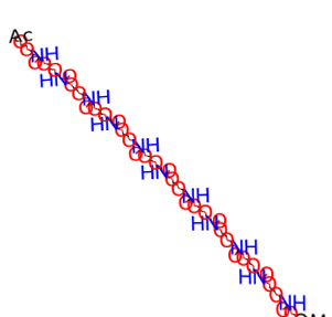 COCCOCC(=O)NCCOCCOCC(=O)NCCOCCOCC(=O)NCCOCCOCC(=O)NCCOCCOCC(=O)NCCOCCOCC(=O)NCCOCCOCC(=O)NCCOCCOCC(=O)NCCOCCOCC(=O)NCCOCCOCC(=O)NCCOCCOCC(=O)NCCOCCOCC(C)=O